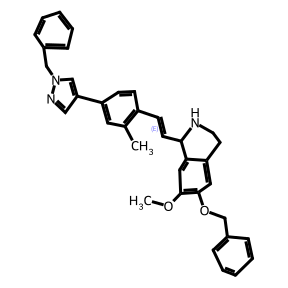 COc1cc2c(cc1OCc1ccccc1)CCNC2/C=C/c1ccc(-c2cnn(Cc3ccccc3)c2)cc1C